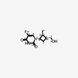 C[C@H]1[C@H](CO)C[C@@H]1n1cc(F)c(=O)[nH]c1=O